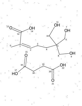 CC(=CCCC(CO)(CO)CO)C(=O)O.O=C(O)CCC(=O)O